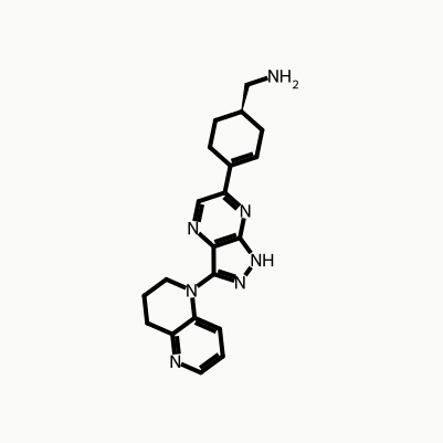 NC[C@H]1CC=C(c2cnc3c(N4CCCc5ncccc54)n[nH]c3n2)CC1